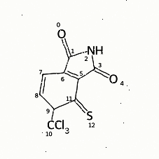 O=C1NC(=O)C2=C1C=CC(C(Cl)(Cl)Cl)C2=S